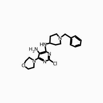 Nc1c(NC2CCN(Cc3ccccc3)CC2)nc(Cl)nc1N1CCOCC1